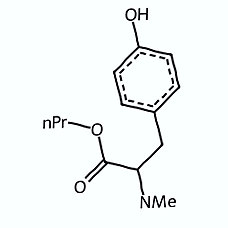 CCCOC(=O)C(Cc1ccc(O)cc1)NC